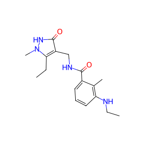 CCNc1cccc(C(=O)NCc2c(CC)n(C)[nH]c2=O)c1C